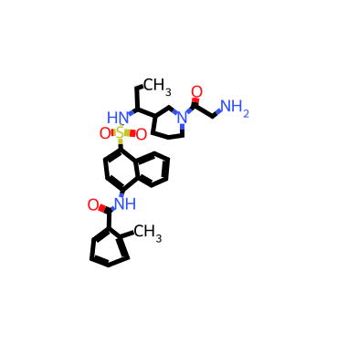 CCC(NS(=O)(=O)c1ccc(NC(=O)c2ccccc2C)c2ccccc12)C1CCCN(C(=O)CN)C1